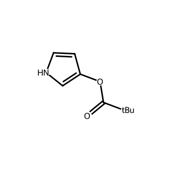 CC(C)(C)C(=O)Oc1cc[nH]c1